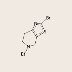 CCN1CCc2nc(Br)sc2C1